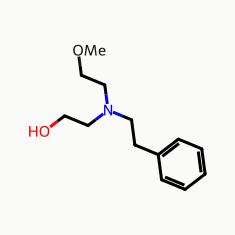 COCCN(CCO)CCc1ccccc1